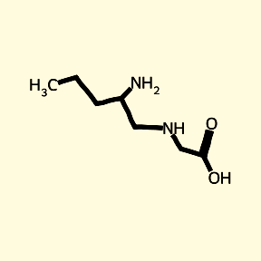 CCCC(N)CNCC(=O)O